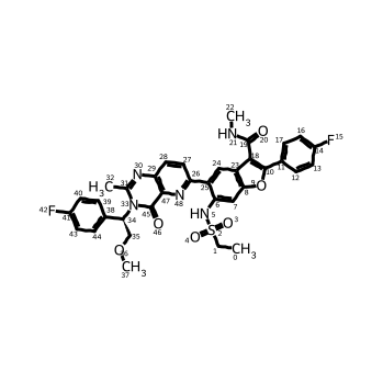 CCS(=O)(=O)Nc1cc2oc(-c3ccc(F)cc3)c(C(=O)NC)c2cc1-c1ccc2nc(C)n([C@@H](COC)c3ccc(F)cc3)c(=O)c2n1